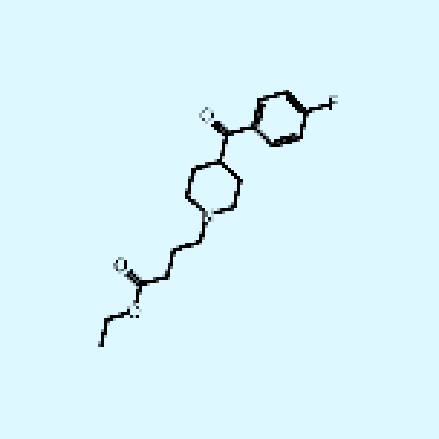 CCOC(=O)CCCN1CCC(C(=O)c2ccc(F)cc2)CC1